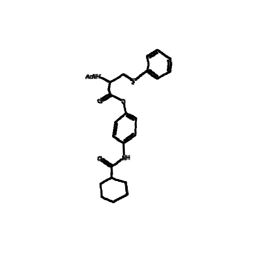 CC(=O)NC(CSc1ccccc1)C(=O)Oc1ccc(NC(=O)C2CCCCC2)cc1